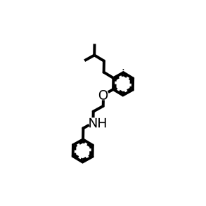 CC(C)CCc1[c]cccc1OCCNCc1ccccc1